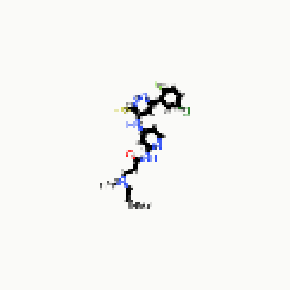 CCCN(CCNC)CCC(=O)Nc1cc(Nc2cc(-c3cc(Cl)ccc3F)nnc2S)ccn1